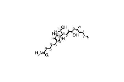 CCCC[C@H](C)C[C@H](O)/C=C/[C@@H]1[C@H]2CC(CCCCC(N)=O)=C[C@H]2C[C@H]1O